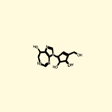 OCC1=CC(n2cnc3c2N=CNCC3O)C(O)C1O